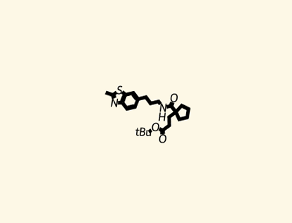 Cc1nc2ccc(CCCNC(=O)C3(CCC(=O)OC(C)(C)C)CCCC3)cc2s1